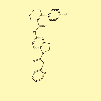 O=C(Nc1ccc2c(c1)CCN2C(=O)Cc1ccccn1)C1=C(c2ccc(F)cc2)CCCC1